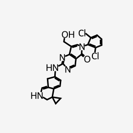 O=c1c2cnc(NC3=CC=C4C(=CNCC45CC5)C3)nc2c(CO)cn1-c1c(Cl)cccc1Cl